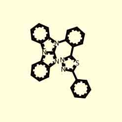 c1ccc(-c2nnc(-c3ccccc3-n3c4ccccc4n4c5ccccc5nc34)s2)cc1